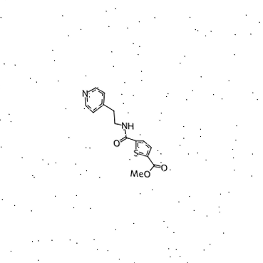 COC(=O)c1ccc(C(=O)NCCc2ccncc2)s1